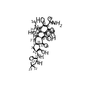 C[C@H]1c2ccc(NC(=O)NC(C)(C)C)c(O)c2C(=O)C2=C(O)[C@@]3(O)C(=O)C(C(N)=O)=C(O)[C@H](N(C)C)[C@@H]3[C@@H](O)[C@@H]21